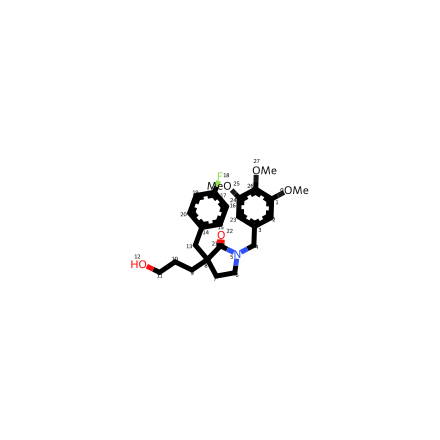 COc1cc(CN2CCC(CCCO)(Cc3ccc(F)cc3)C2=O)cc(OC)c1OC